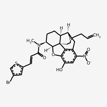 C=CCN1CC[C@]23c4c5c([N+](=O)[O-])cc(O)c4O[C@H]2[C@@H](N(C)C(=O)/C=C/c2cc(Br)cs2)CC[C@H]3[C@H]1C5